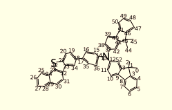 CC1(C)c2ccccc2-c2ccc(N(c3ccc(-c4ccc5sc6c7ccccc7ccc6c5c4)cc3)c3ccc4c(c3)C(C)(C)c3ccccc3-4)cc21